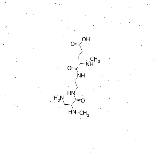 CN[C@@H](CN)C(=O)NCCNC(=O)[C@H](CCC(=O)O)NC